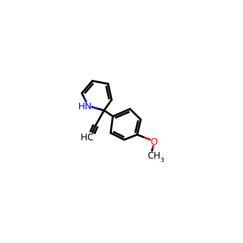 C#CC1(c2ccc(OC)cc2)C=CC=CN1